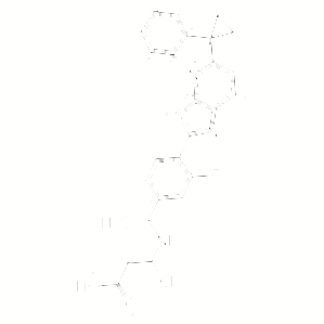 CC(CC(=O)O)N[C@H](C)c1ccc(-c2nc3ccc(C4(c5ccccc5)CC4)nc3s2)c(F)c1